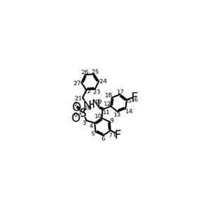 O=S1(=O)Cc2ccc(F)cc2C(c2ccc(F)cc2)=NN1Cc1ccccc1